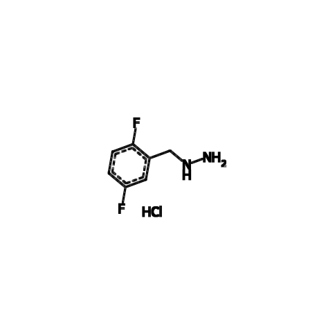 Cl.NNCc1cc(F)ccc1F